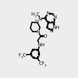 CN(c1ncnc2[nH]ncc12)[C@H]1CCCN(C(=O)CNc2cc(C(F)(F)F)cc(C(F)(F)F)c2)C1